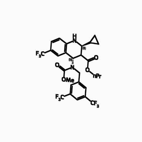 CCCOC(=O)C1[C@H](C2CC2)Nc2ccc(C(F)(F)F)cc2[C@H]1N(Cc1cc(C(F)(F)F)cc(C(F)(F)F)c1)C(=O)OC